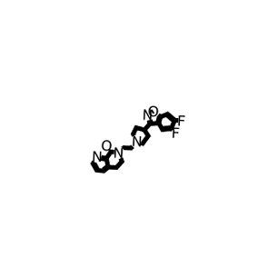 O=C1c2ncccc2CCN1CCN1CCC(c2noc3cc(F)c(F)cc23)CC1